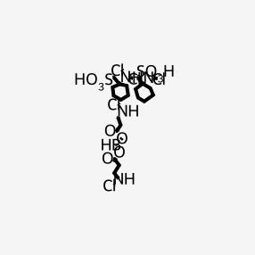 O=C(CCNCl)OBOC(=O)CCNCl.O=S(=O)(O)CC1(N(Cl)Cl)CCCCC1.O=S(=O)(O)CC1(NCl)CCCCC1